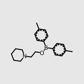 Cc1ccc(B(OCCN2CCCCC2)c2ccc(C)cc2)cc1